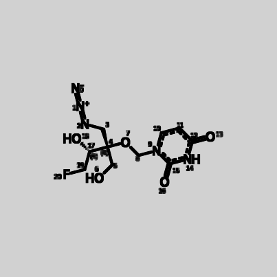 [N-]=[N+]=NC[C@](CO)(OCn1ccc(=O)[nH]c1=O)[C@@H](O)CF